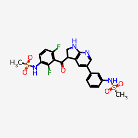 CS(=O)(=O)Nc1cccc(-c2cnc3c(c2)C(C(=O)c2c(F)ccc(NS(C)(=O)=O)c2F)CN3)c1